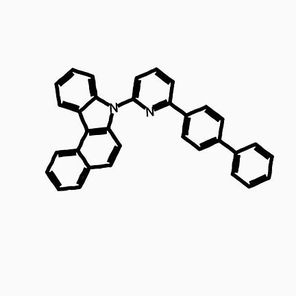 c1ccc(-c2ccc(-c3cccc(-n4c5ccccc5c5c6ccccc6ccc54)n3)cc2)cc1